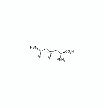 [2H][13CH]([15NH2])C[13CH]([2H])C[C@H]([15NH2])C(=O)O